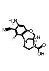 N#Cc1c(N)cc2c(c1F)N1CCN(C(=O)O)[C@H](CO2)C1